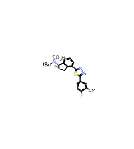 CC(C)(C)N(C(=O)O)[C@@H]1CCc2c(-c3nnc(-c4ccc(F)c(C#N)c4)s3)cccc21